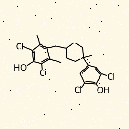 Cc1c(Cl)c(O)c(Cl)c(C)c1CC1CCC(C)(c2cc(Cl)c(O)c(Cl)c2)CC1